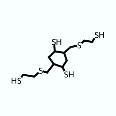 SCCSCC1CC(S)C(CSCCS)CC1S